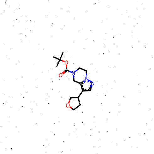 CC(C)(C)OC(=O)N1CCn2ncc(C3CCOC3)c2C1